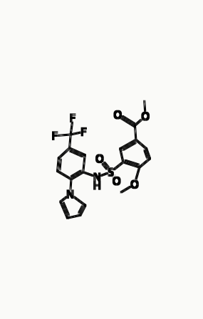 COC(=O)c1ccc(OC)c(S(=O)(=O)Nc2cc(C(F)(F)F)ccc2-n2cccc2)c1